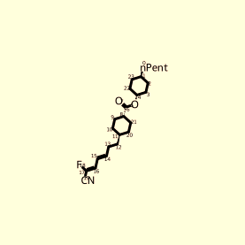 CCCCC[C@H]1CC[C@H](OC(=O)[C@H]2CC[C@H](CCC=CC=C(F)C#N)CC2)CC1